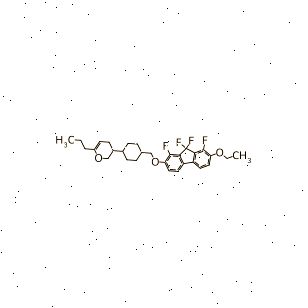 CCCC1=CCC(C2CCC(COc3ccc4c(c3F)C(F)(F)c3c-4ccc(OCC)c3F)CC2)CO1